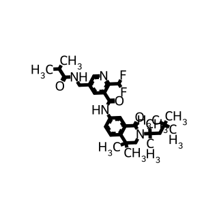 CC(C)C(=O)NCc1cnc(C(F)F)c(C(=O)Nc2ccc3c(c2)C(=O)N(C(C)(C)CC(C)(C)C)CC3(C)C)c1